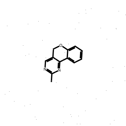 Cc1ncc2c(n1)-c1ccccc1OC2